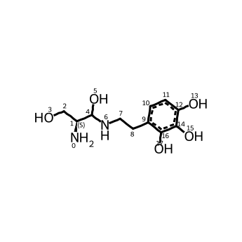 N[C@@H](CO)C(O)NCCc1ccc(O)c(O)c1O